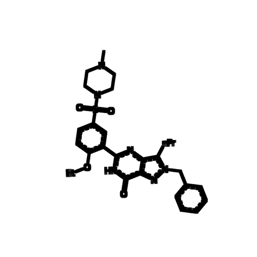 CCCc1c2nc(-c3cc(S(=O)(=O)N4CCN(C)CC4)ccc3OCC)[nH]c(=O)c2nn1Cc1ccccc1